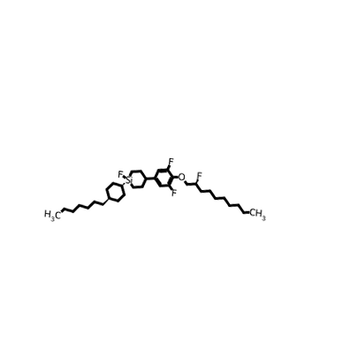 CCCCCCCC[C@H](F)COc1c(F)cc(C2CC[Si](F)([C@H]3CC[C@H](CCCCCCC)CC3)CC2)cc1F